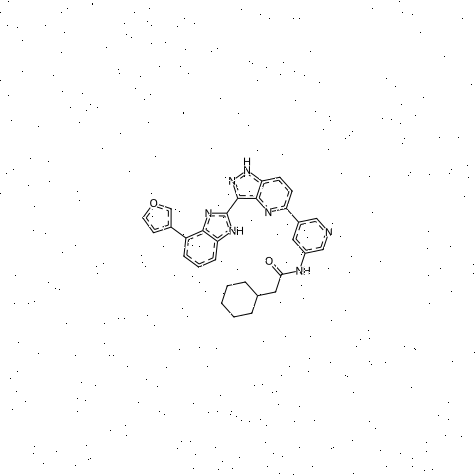 O=C(CC1CCCCC1)Nc1cncc(-c2ccc3[nH]nc(-c4nc5c(-c6ccoc6)cccc5[nH]4)c3n2)c1